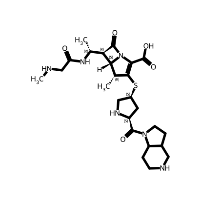 CNCC(=O)N[C@H](C)[C@H]1C(=O)N2C(C(=O)O)=C(S[C@@H]3CN[C@H](C(=O)N4CCC5CNCCC54)C3)[C@H](C)[C@H]12